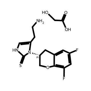 NCCc1c[nH]c(=S)n1[C@H]1COc2c(F)cc(F)cc2C1.O=C(O)CO